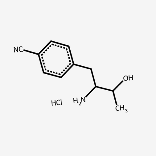 CC(O)C(N)Cc1ccc(C#N)cc1.Cl